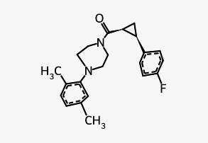 Cc1ccc(C)c(N2CCN(C(=O)[C@H]3C[C@H]3c3ccc(F)cc3)CC2)c1